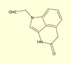 O=CCn1cc2c3c(cccc31)CC(=O)N2